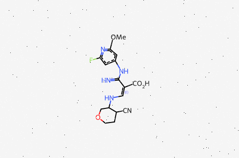 COc1cc(NC(=N)/C(=C\NC2COCCC2C#N)C(=O)O)cc(F)n1